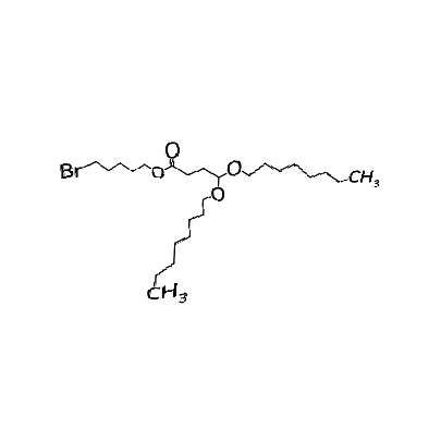 CCCCCCCCOC(CCC(=O)OCCCCCBr)OCCCCCCCC